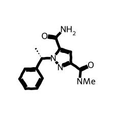 CNC(=O)c1cc(C(N)=O)n([C@@H](C)c2ccccc2)n1